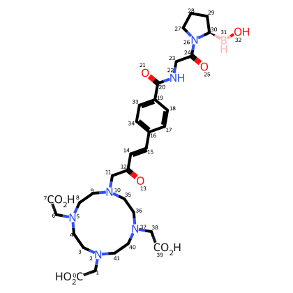 O=C(O)CN1CCN(CC(=O)O)CCN(CC(=O)/C=C/c2ccc(C(=O)NCC(=O)N3CCC[C@H]3BO)cc2)CCN(CC(=O)O)CC1